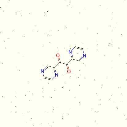 O=C(C(=O)c1cnccn1)c1cnccn1